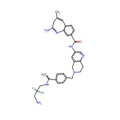 C=C(NCC(F)(F)CN)c1ccc(CN2CCc3ncc(NC(=O)c4ccc5c(c4)N=C(N)CC(C)=C5)cc3C2)cc1